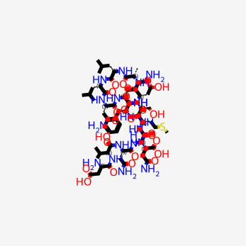 CSCC[C@H](NC(=O)[C@H](CCC(N)=O)NC(=O)[C@H](CC(N)=O)NC(=O)[C@@H](NC(=O)[C@@H](N)CC(=O)O)C(C)C)C(=O)N[C@@H](Cc1ccc(O)cc1)C(=O)N[C@@H](CC(=O)O)C(=O)N[C@@H](C)C(=O)N[C@@H](CC(C)C)C(=O)N[C@@H](CC(C)C)C(=O)N[C@@H](CC(N)=O)C(=O)N[C@@H](CCCCN)C(=O)N[C@@H](CO)C(=O)NCC(=O)N[C@@H](C)C(=O)O